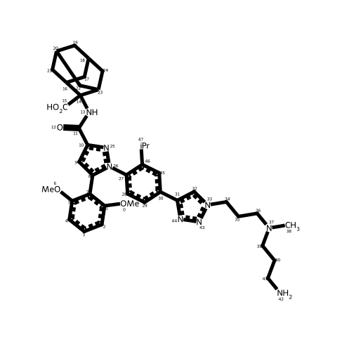 COc1cccc(OC)c1-c1cc(C(=O)NC2(C(=O)O)C3CC4CC(C3)CC2C4)nn1-c1ccc(-c2cn(CCCN(C)CCCN)nn2)cc1C(C)C